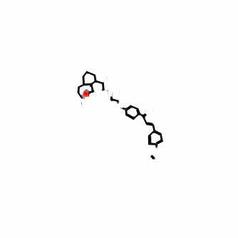 C[C@@H]1CCC2[C@@H](C)[C@@H](NC(=O)COc3ccc(C(=O)/C=C/c4ccc(OC(F)(F)F)cc4)cc3)O[C@@H]3O[C@@]4(C)CCC1[C@@]23OO4